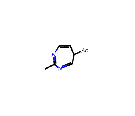 CC(=O)C1C=CN=C(C)N=C1